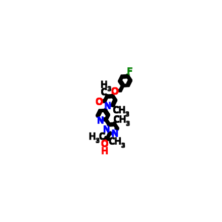 Cc1cnc(C(C)(C)O)nc1-c1cc(-n2c(C)cc(OCc3ccc(F)cc3)c(C)c2=O)ccn1